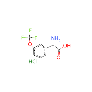 Cl.NC(C(=O)O)c1cccc(OC(F)(F)F)c1